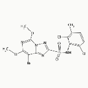 COc1nc(OC)n2nc(S(=O)(=O)Nc3c(Cl)ccc(C)c3Cl)nc2c1Br